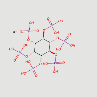 O=P([O-])(O)O[C@@H]1[C@@H](OP(=O)(O)O)[C@H](OP(=O)(O)O)[C@@H](OP(=O)(O)O)[C@H](OP(=O)(O)O)[C@@H]1OP(=O)(O)O.[K+]